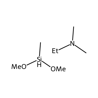 CCN(C)C.CO[SiH](C)OC